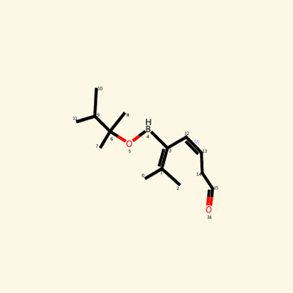 CC(C)=C(BOC(C)(C)C(C)C)/C=C\CC=O